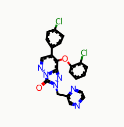 O=c1n(Cc2cnccn2)nc2c(Oc3ccccc3Cl)c(-c3ccc(Cl)cc3)cnn12